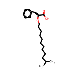 CC(C)CCCCCCCCCCOC(=Cc1ccccc1)C(=O)O